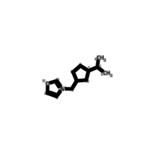 CC(C)C1CCC(C[n+]2ccoc2)C1